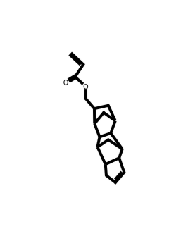 C=CC(=O)OCC1CC2CC1C1C3CC(C4C=CCC43)C21